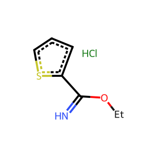 CCOC(=N)c1cccs1.Cl